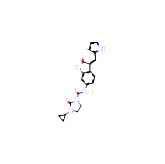 O=C1Nc2cc(NC(=O)N3CCN(C4CC4)C3=O)ccc2C1=Cc1ccc[nH]1